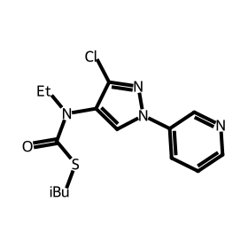 CCC(C)SC(=O)N(CC)c1cn(-c2cccnc2)nc1Cl